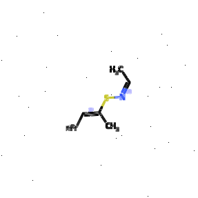 C/C=N\S/C(C)=C/CCC